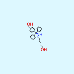 OCCCCCCNC(c1ccccc1)(c1ccccc1)c1ccc(CO)cc1